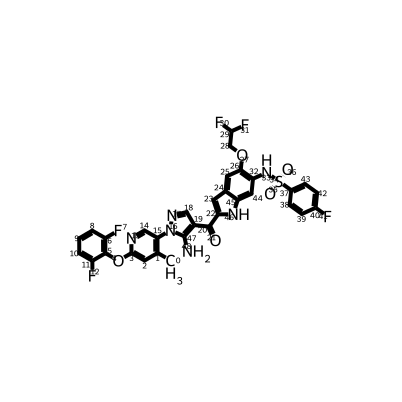 Cc1cc(Oc2c(F)cccc2F)ncc1-n1ncc(C(=O)c2cc3cc(OCC(F)F)c(NS(=O)(=O)c4ccc(F)cc4)cc3[nH]2)c1N